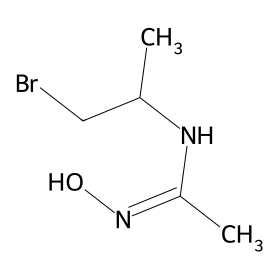 CC(=NO)NC(C)CBr